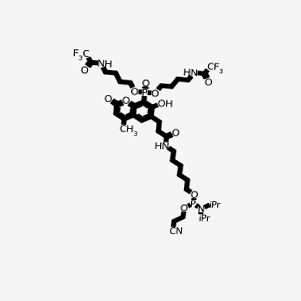 Cc1cc(=O)oc2c(P(=O)(OCCCCNC(=O)C(F)(F)F)OCCCCNC(=O)C(F)(F)F)c(O)c(CCC(=O)NCCCCCCOP(OCCC#N)N(C(C)C)C(C)C)cc12